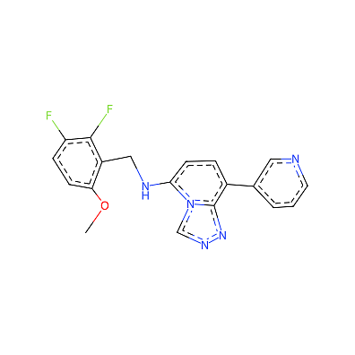 COc1ccc(F)c(F)c1CNc1ccc(-c2cccnc2)c2nncn12